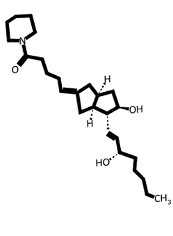 CCCCC[C@H](O)/C=C/[C@@H]1[C@H]2CC(=CCCCC(=O)N3CCCCC3)C[C@H]2C[C@H]1O